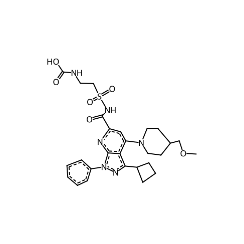 COCC1CCN(c2cc(C(=O)NS(=O)(=O)CCNC(=O)O)nc3c2c(C2CCC2)nn3-c2ccccc2)CC1